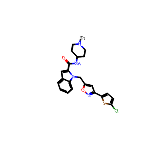 CC(C)N1CCC(NC(=O)c2cc3ccccc3n2Cc2cc(-c3ccc(Cl)s3)no2)CC1